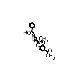 CC(=O)c1ccc(ON(CCNCC(O)c2ccccc2)C(C)=O)cc1